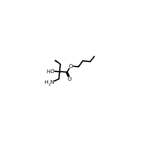 CCCCOC(=O)C(O)(CC)CN